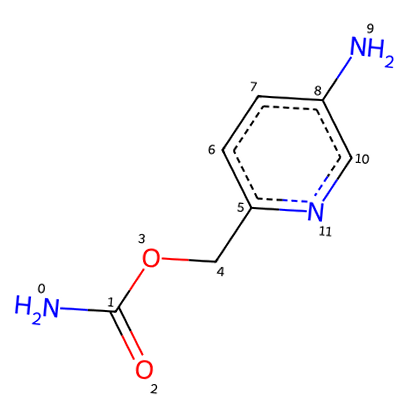 NC(=O)OCc1ccc(N)cn1